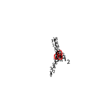 C=CCCCCCC[SiH2]O[Si](CCCCCCC=C)(OC)OC